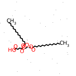 CCCCCCCCCCCCCCCC(=O)OC[C@H](COC(=O)CCC(=O)O)OC(=O)CCCCCCCCCCCCCCC